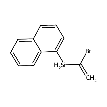 C=C(Br)[SiH2]c1cccc2ccccc12